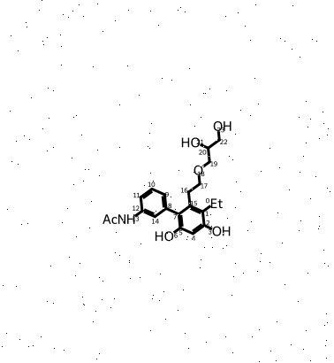 CCc1c(O)cc(O)c(-c2cccc(NC(C)=O)c2)c1CCOCC(O)CO